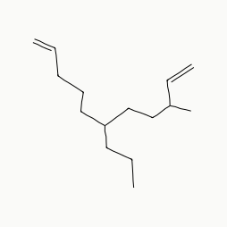 C=CCCCC(CCC)CCC(C)C=C